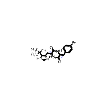 CC(C)(C)c1[nH]cnc1/C=c1\[nH]c(=O)/c(=C/c2ccc(Br)cc2)[nH]c1=O